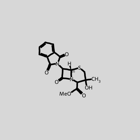 COC(=O)C1N2C(=O)C(N3C(=O)c4ccccc4C3=O)[C@@H]2SCC1(C)O